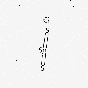 [C].[S]=[Sn]=[S]